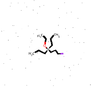 CCC[Si](CCC)(CCCI)OCC